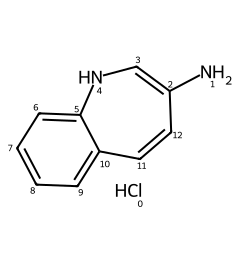 Cl.NC1=CNc2ccccc2C=C1